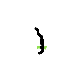 CCCCC#CC(F)(F)CC